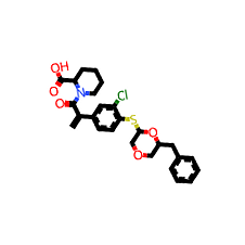 C=C(C(=O)N1CCCCC1C(=O)O)c1ccc(SC2COCC(Cc3ccccc3)O2)c(Cl)c1